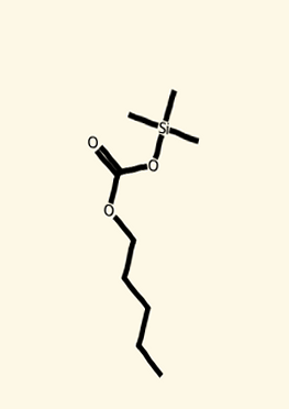 CCCCCOC(=O)O[Si](C)(C)C